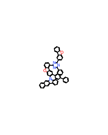 c1ccc(-c2ccc(-c3cc4c(cc3-n3c5ccccc5c5cc6ccccc6cc53)oc3cccc(-c5nc(-c6ccccc6)nc(-c6ccc7oc8ccccc8c7c6)n5)c34)cc2)cc1